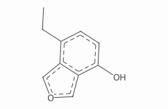 CCc1ccc(O)c2cocc12